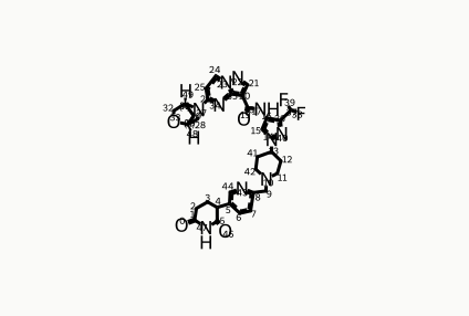 O=C1CCC(c2ccc(CN3CCC(n4cc(NC(=O)c5cnn6ccc(N7C[C@H]8C[C@@H]7CO8)nc56)c(C(F)F)n4)CC3)nc2)C(=O)N1